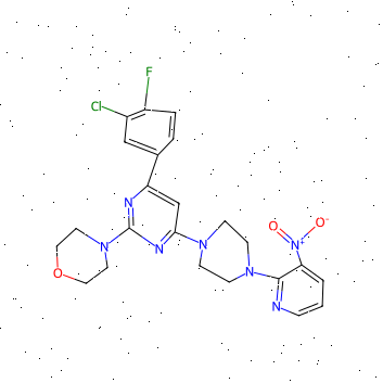 O=[N+]([O-])c1cccnc1N1CCN(c2cc(-c3ccc(F)c(Cl)c3)nc(N3CCOCC3)n2)CC1